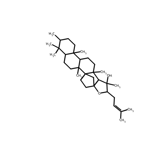 CC(C)=CCC1OC23CCC4(C2)C(C)(CCC2C5(C)CCC(C)C(C)(C)C5CCC24C)C3C1(C)O